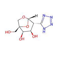 OC[C@@]12CO[C@@H](O1)[C@H](c1nnn[nH]1)[C@@H](O)[C@H]2O